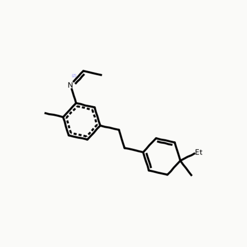 C/C=N\c1cc(CCC2=CCC(C)(CC)C=C2)ccc1C